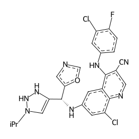 CC(C)N1C=C([C@@H](Nc2cc(Cl)c3ncc(C#N)c(Nc4ccc(F)c(Cl)c4)c3c2)c2cnco2)NN1